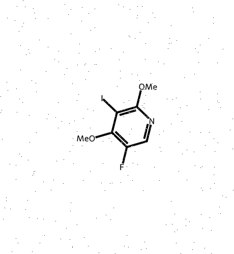 COc1ncc(F)c(OC)c1I